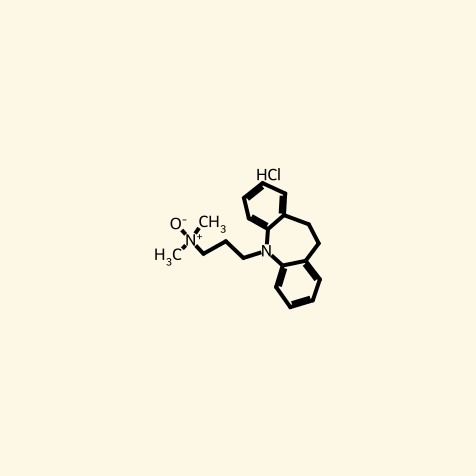 C[N+](C)([O-])CCCN1c2ccccc2CCc2ccccc21.Cl